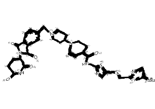 CC(C)(C)c1cnc(CSc2cnc(NC(=O)C3CCN(C4CCN(Cc5ccc6c(c5)C(=O)N(C5CCC(=O)NC5=O)C6=O)CC4)CC3)s2)o1